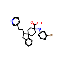 O=C(O)C1(Nc2cccc(Br)c2)CCC2(CC1)c1ccccc1CC2CCc1cccnc1